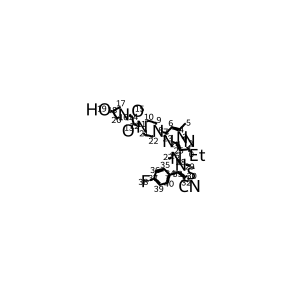 CCc1nn2c(C)cc(N3CCN(C(=O)C(=O)N4CC(O)C4)CC3)nc2c1N(C)N1CSC(C#N)=C1c1ccc(F)cc1